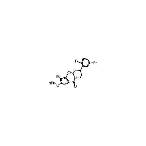 CCCOc1sc(C(=O)N2CCC(c3cc(CC)ccc3F)CC2)c(C)c1Br